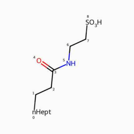 CCCCCCCCCC(=O)NCCS(=O)(=O)O